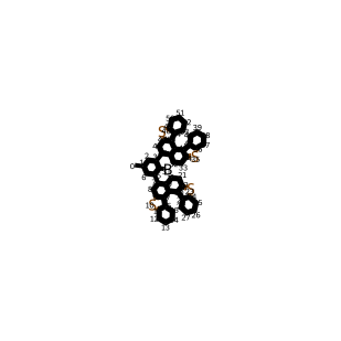 Cc1cc2c3c(c1)-c1cc4sc5ccccc5c4c4c1c(cc1sc5ccccc5c14)B3c1cc3sc4ccccc4c3c3c1c-2cc1sc2ccccc2c13